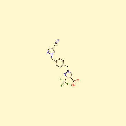 N#Cc1cnn(Cc2ccc(Cn3cc(C(=O)O)c(C(F)(F)F)n3)cc2)c1